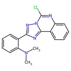 CN(C)c1ccccc1-c1nc2c3ccccc3nc(Cl)n2n1